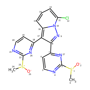 C[S+]([O-])c1nccc(-c2nn3c(Cl)cccc3c2-c2ccnc([S+](C)[O-])n2)n1